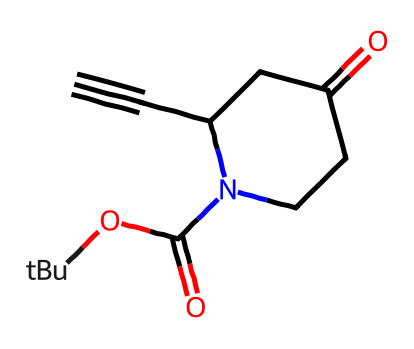 C#CC1CC(=O)CCN1C(=O)OC(C)(C)C